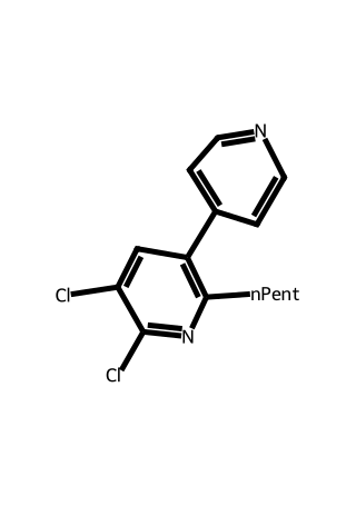 CCCCCc1nc(Cl)c(Cl)cc1-c1ccncc1